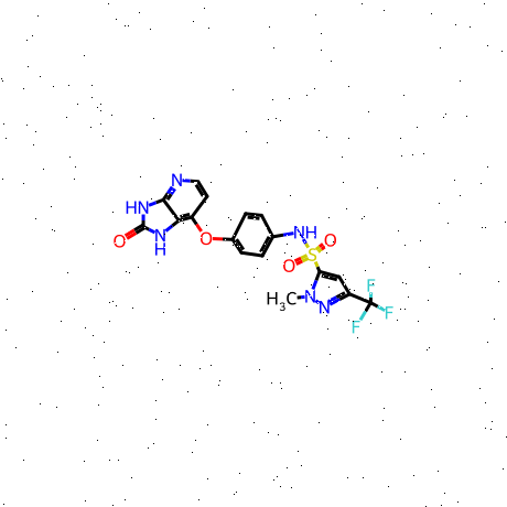 Cn1nc(C(F)(F)F)cc1S(=O)(=O)Nc1ccc(Oc2ccnc3[nH]c(=O)[nH]c23)cc1